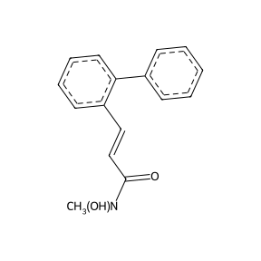 CN(O)C(=O)C=Cc1ccccc1-c1ccccc1